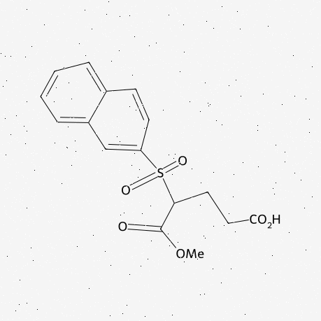 COC(=O)C(CCC(=O)O)S(=O)(=O)c1ccc2ccccc2c1